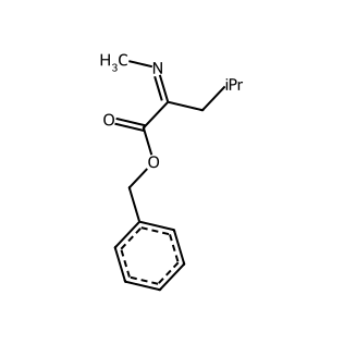 C/N=C(/CC(C)C)C(=O)OCc1ccccc1